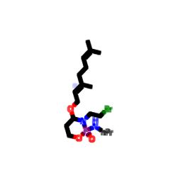 CCCNP1(=O)OCCC(OC/C=C(\C)CCC=C(C)C)N1CCBr